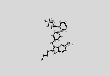 CC/C=C/c1nc2ccc(N)cc2n1Cc1ccc(-c2ccccc2C(=O)OC(C)(C)C)cc1